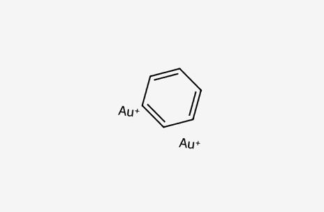 [Au+].[Au+].c1ccccc1